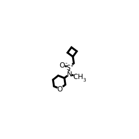 CN(C1CCCOC1)[S+]([O-])CC1CCC1